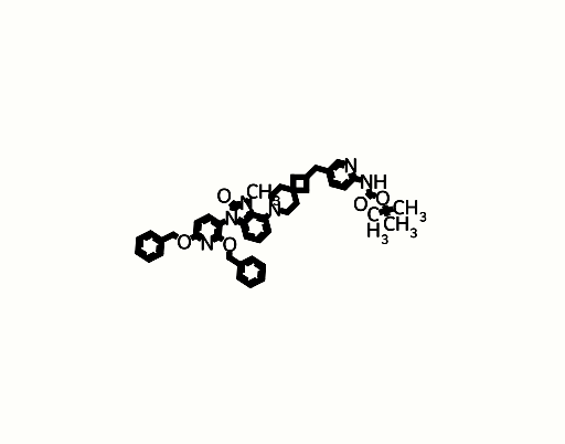 Cn1c(=O)n(-c2ccc(OCc3ccccc3)nc2OCc2ccccc2)c2cccc(N3CCC4(CC3)CC(Cc3ccc(NC(=O)OC(C)(C)C)nc3)C4)c21